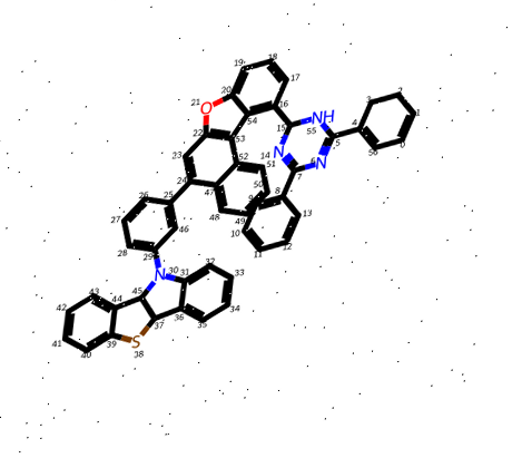 C1=CCCC(C2=NC(c3ccccc3)=NC(c3cccc4oc5cc(-c6cccc(N7c8ccccc8C8Sc9ccccc9C87)c6)c6ccccc6c5c34)N2)=C1